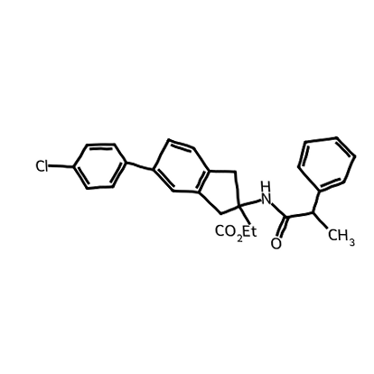 CCOC(=O)C1(NC(=O)C(C)c2ccccc2)Cc2ccc(-c3ccc(Cl)cc3)cc2C1